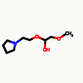 COCC(O)OCCN1CCCC1